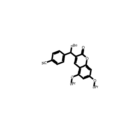 CCCCC(c1ccc(C#N)cc1)c1cc2c(OCCC)cc(OCCC)cc2oc1=O